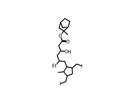 CCC(CC(O)CC(=O)OC1(C)CC2CCC1C2)CC1C(CI)CC(CI)C1C